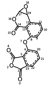 O=C1OC(=O)c2c(Oc3cccc4c3C(=O)OC3OC43)cccc21